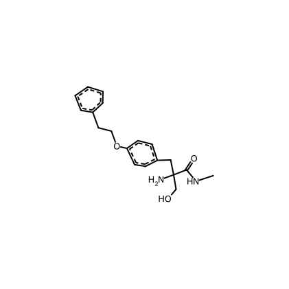 CNC(=O)C(N)(CO)Cc1ccc(OCCc2ccccc2)cc1